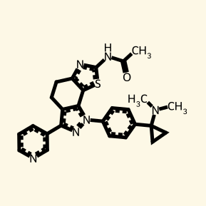 CC(=O)Nc1nc2c(s1)-c1c(c(-c3cccnc3)nn1-c1ccc(C3(N(C)C)CC3)cc1)CC2